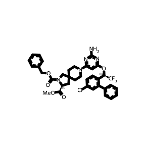 COC(=O)[C@@H]1CC2(CCN(c3cc(O[C@H](c4ccc(Cl)cc4-c4ccccc4)C(F)(F)F)nc(N)n3)CC2)CN1C(=O)OCc1ccccc1